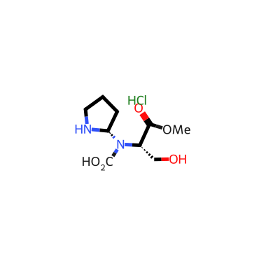 COC(=O)[C@H](CO)N(C(=O)O)[C@H]1CCCN1.Cl